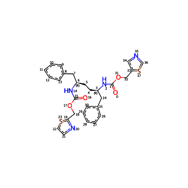 O=C(N[C@H](CC[C@H](Cc1ccccc1)NC(=O)OCc1nccs1)Cc1ccccc1)OCc1cncs1